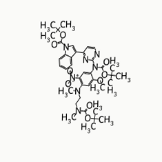 COc1cc(N(C)CCN(C)C(=O)OC(C)(C)C)c([N+](=O)[O-])cc1N(C(=O)OC(C)(C)C)c1nccc(-c2cn(C(=O)OC(C)(C)C)c3ccccc23)n1